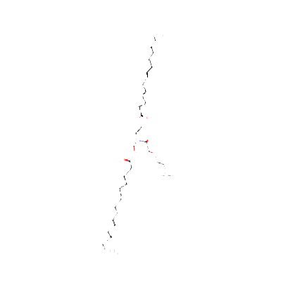 CCCCCCCCCCCCCC(=O)OCCN(COC(=O)CCCCCCCCCCCCC)C(=O)COCCN(C)C